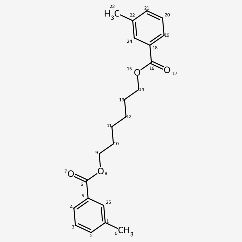 Cc1cccc(C(=O)OCCCCCCOC(=O)c2cccc(C)c2)c1